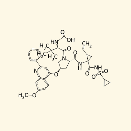 C=CC1CC1(NC(=O)[C@@H]1C[C@@H](Oc2cc(-c3ccccc3)nc3cc(OC)ccc23)CN1C(=O)[C@H](NC(=O)O)C(C)(C)C)C(=O)NS(=O)(=O)C1CC1